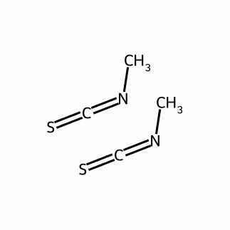 CN=C=S.CN=C=S